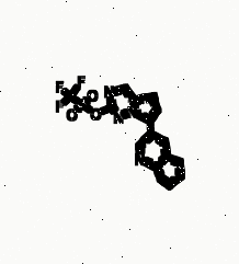 O=S(=O)(Oc1ncc2ccc(-c3cnc4ccccc4c3)n2n1)C(F)(F)F